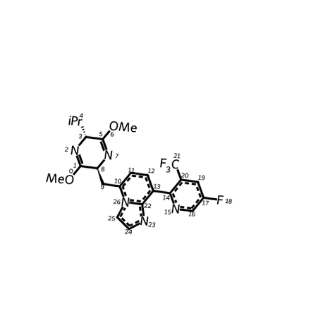 COC1=N[C@H](C(C)C)C(OC)=N[C@H]1Cc1ccc(-c2ncc(F)cc2C(F)(F)F)c2nccn12